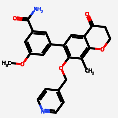 COc1cc(C(N)=O)cc(-c2cc3c(c(C)c2OCc2ccncc2)OCCC3=O)c1